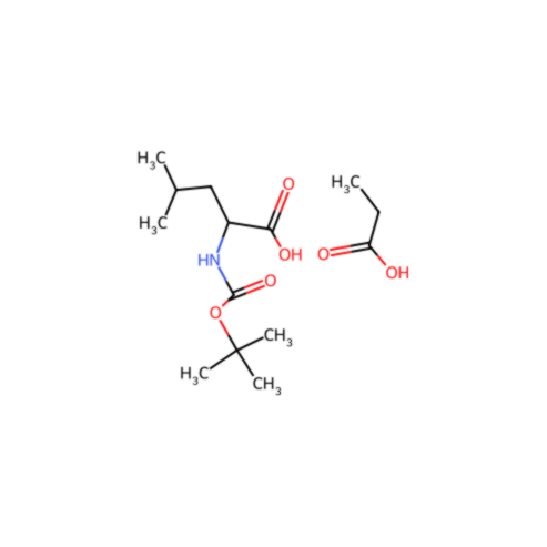 CC(C)CC(NC(=O)OC(C)(C)C)C(=O)O.CCC(=O)O